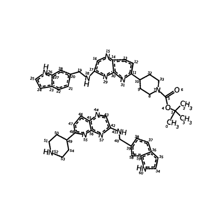 CC(C)(C)OC(=O)N1CCC(c2ccc3ncc(NCc4ccc5cc[nH]c5c4)nc3n2)CC1.c1cc2ccc(CNc3cnc4ccc(C5CCNCC5)nc4n3)cc2[nH]1